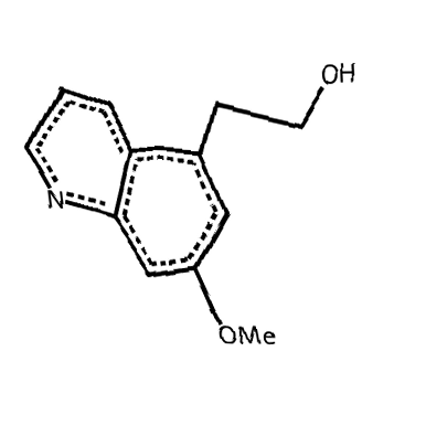 COc1cc(CCO)c2cccnc2c1